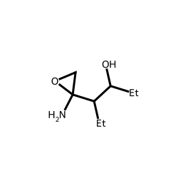 CCC(O)C(CC)C1(N)CO1